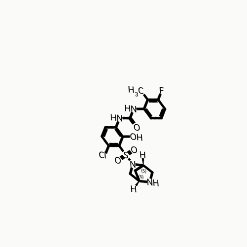 Cc1c(F)cccc1NC(=O)Nc1ccc(Cl)c(S(=O)(=O)N2C[C@@H]3C[C@H]2CN3)c1O